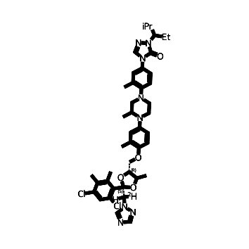 [2H]C([2H])(n1cncn1)[C@@]1(c2c(Cl)cc(Cl)c(C)c2C)OC(C)[C@@H](COc2ccc(N3CCN(c4ccc(-n5cnn(C(CC)C(C)C)c5=O)cc4C)CC3C)cc2C)O1